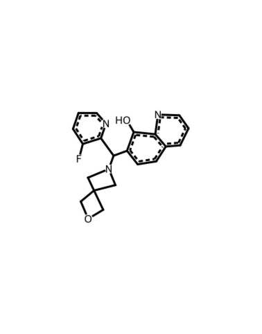 Oc1c(C(c2ncccc2F)N2CC3(COC3)C2)ccc2cccnc12